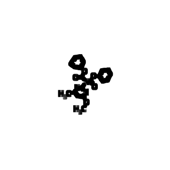 COc1cc(C)nc(N(C(=O)Oc2ccccc2)C(=O)Oc2ccccc2)n1